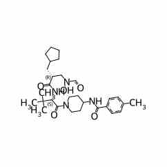 Cc1ccc(C(=O)NC2CCN(C(=O)[C@@H](NC(=O)[C@H](CC3CCCC3)CN(O)C=O)C(C)(C)C)CC2)cc1